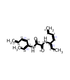 C=C/C=C\C(=C/C)NC(=O)C(=O)NC(/C=C\C=C)=C/C